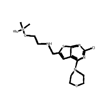 CC(C)(C)[Si](C)(C)OCCNCc1cc2c(N3CCOCC3)nc(Cl)nc2s1